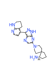 N[C@@H]1CCCC12CCN(c1cnc3c(-c4ccnc5c4CCCN5)n[nH]c3n1)CC2